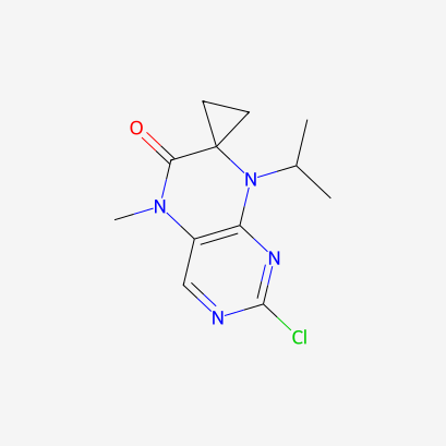 CC(C)N1c2nc(Cl)ncc2N(C)C(=O)C12CC2